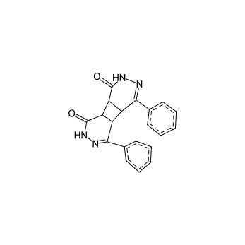 O=C1NN=C(c2ccccc2)C2C1C1C(=O)NN=C(c3ccccc3)C12